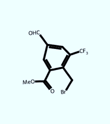 COC(=O)c1cc(C=O)cc(C(F)(F)F)c1CBr